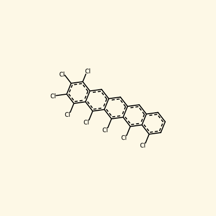 Clc1c(Cl)c(Cl)c2c(Cl)c3c(Cl)c4c(Cl)c5c(Cl)cccc5cc4cc3cc2c1Cl